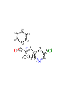 O=C(O)/C(=C\c1cncc(Cl)c1)C(=O)c1ccccc1